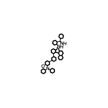 N=C(c1ccccc1)c1ccccc1Nn1c2cccc(-c3cccc(-c4ccc5c(c4)N(c4ccccc4)c4ccccc4O5)c3)c2c2c3ccccc3ccc21